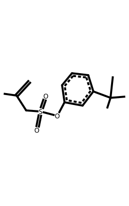 C=C(C)CS(=O)(=O)Oc1cccc(C(C)(C)C)c1